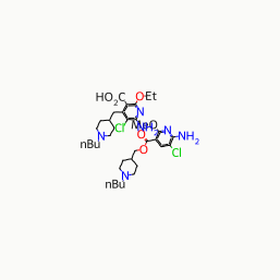 CCCCN1CCC(COC(=O)c2cc(Cl)c(N)nc2OC)CC1.CCCCN1CCC(Cc2c(Cl)c(N)nc(OCC)c2C(=O)O)CC1